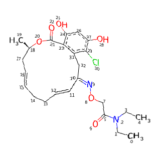 CCN(CC)C(=O)CO/N=C1\C=C\CC/C=C/C[C@@H](C)OC(=O)c2c(O)cc(O)c(Cl)c2C1